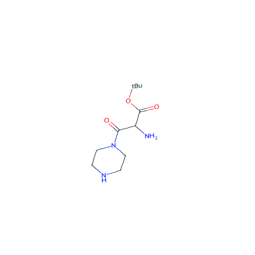 CC(C)(C)OC(=O)C(N)C(=O)N1CCNCC1